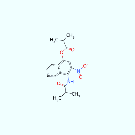 CC(C)C(=O)Nc1c([N+](=O)[O-])cc(OC(=O)C(C)C)c2ccccc12